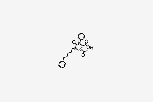 CC(=O)SC[C@H](CCCCCc1ccccc1)C(=O)N(CC(=O)O)c1ccccc1